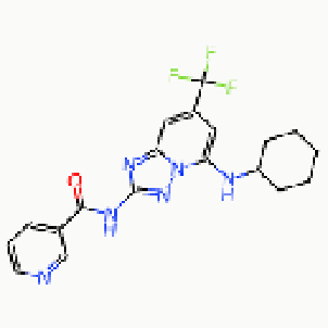 O=C(Nc1nc2cc(C(F)(F)F)cc(NC3CCCCC3)n2n1)c1cccnc1